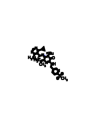 C=C(/N=C1\C(=C(C)C)N=C(NCc2ccc(S(C)(=O)=O)nc2)C(=O)N1[C@@H](C)CC)c1c(C)ncnc1C1CC1